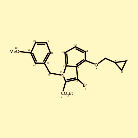 CCOC(=O)c1c(Br)c2c(OCC3CC3)cccc2n1Cc1cccc(OC)c1